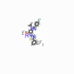 CCOc1cc2c(cc1Nc1nnc(-c3cccc(C(F)(F)F)c3)s1)nc(-c1ccc(F)cc1)n2C1CC1